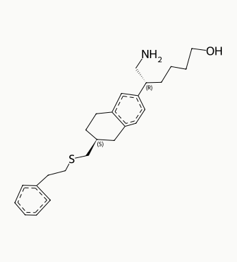 NC[C@H](CCCCO)c1ccc2c(c1)CC[C@H](CSCCc1ccccc1)C2